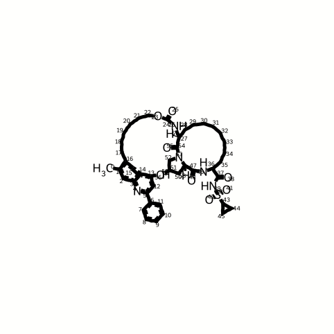 Cc1cc2nc(-c3ccccc3)cc3c2cc1CCCCCCOC(=O)N[C@H]1CCCCCCCCC(C(=O)NS(=O)(=O)C2CC2)NC(=O)[C@@H]2C[C@H](CN2C1=O)O3